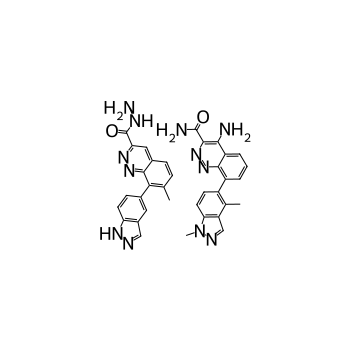 Cc1c(-c2cccc3c(N)c(C(N)=O)nnc23)ccc2c1cnn2C.Cc1ccc2cc(C(=O)NN)nnc2c1-c1ccc2[nH]ncc2c1